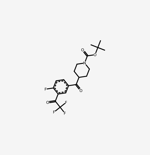 CC(C)(C)OC(=O)N1CCC(C(=O)c2ccc(F)c(C(=O)C(F)(F)F)c2)CC1